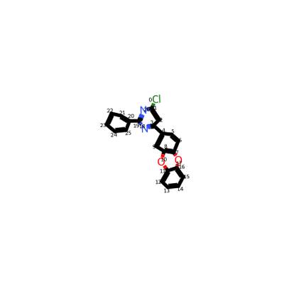 Clc1cc(-c2ccc3c(c2)Oc2ccccc2O3)nc(-c2ccccc2)n1